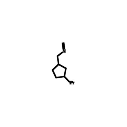 C=NCC1CCC(C(C)C)C1